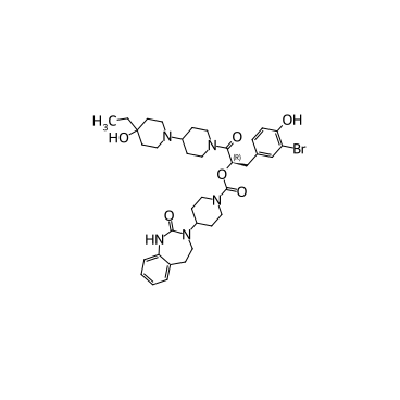 CCC1(O)CCN(C2CCN(C(=O)[C@@H](Cc3ccc(O)c(Br)c3)OC(=O)N3CCC(N4CCc5ccccc5NC4=O)CC3)CC2)CC1